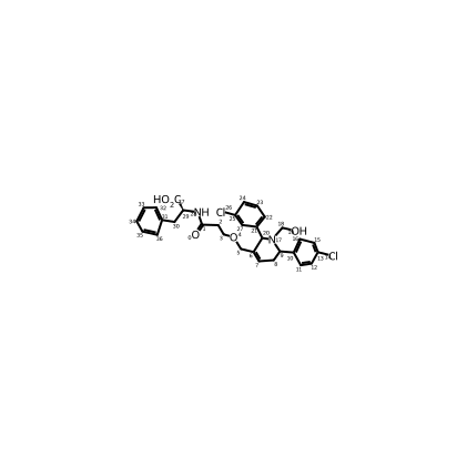 O=C(CCOCC1=CCC(c2ccc(Cl)cc2)N(CO)C1c1cccc(Cl)c1)N[C@@H](Cc1ccccc1)C(=O)O